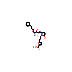 C[C@@H](CCCCc1ccccc1)[C@@H](O)C=CC1CCC(=O)N1CCCc1ccc(C(=O)O)s1